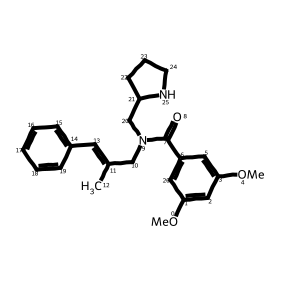 COc1cc(OC)cc(C(=O)N(CC(C)=Cc2ccccc2)CC2CCCN2)c1